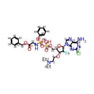 CCN(CC)CCO[C@@H]1C(F)[C@H](n2cnc3c(N)nc(Cl)nc32)O[C@@H]1COP(=O)(O)OP(=O)(NCC(=O)OCc1ccccc1)Oc1ccccc1